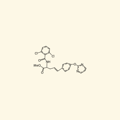 COC(=O)C(CC=Cc1ccc(Oc2ncccn2)cc1)NC(=O)c1c(Cl)cccc1Cl